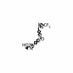 O=C(N1CC2(CC(Cn3ncc(C(F)(F)F)n3)C2)C1)N1CC2(CC(n3cnc(C4(O)CC4)n3)C2)C1